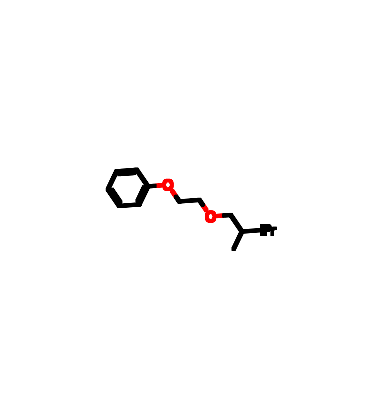 CC(C)C(C)COCCOc1ccccc1